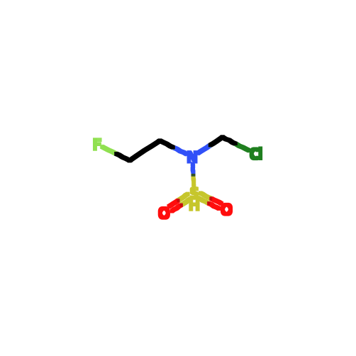 O=[SH](=O)N(CCl)CCF